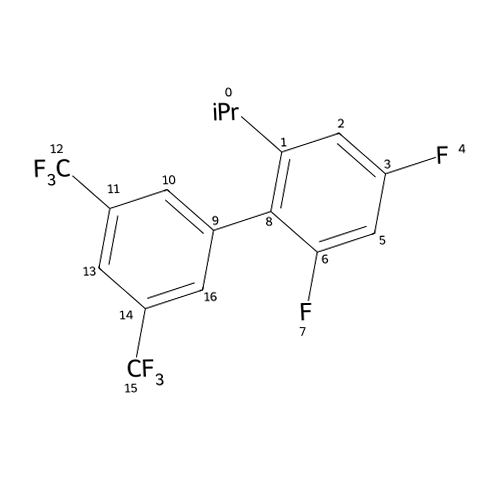 CC(C)c1cc(F)cc(F)c1-c1cc(C(F)(F)F)cc(C(F)(F)F)c1